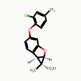 CCOC(=O)[C@@]1(C)[C@@H]2Oc3cc(Oc4ccc(C(F)(F)F)cc4Cl)ccc3[C@@H]21